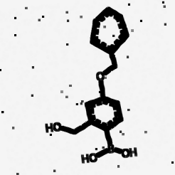 OCc1cc(OCc2ccccc2)ccc1B(O)O